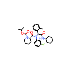 Cc1ccccc1[C@@H](C(=O)NC1CCCCC1)N(C(=O)[C@H]1CCCCN1C(=O)OC(C)C)c1cccc(F)c1